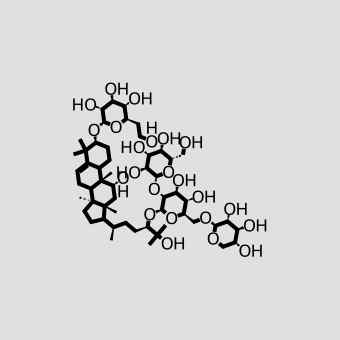 C[C@H](CC[C@@H](O[C@@H]1O[C@H](CO[C@@H]2OC[C@@H](O)[C@H](O)[C@H]2O)[C@@H](O)[C@H](O)[C@H]1O[C@H]1O[C@@H](CO)[C@H](O)[C@@H](O)[C@@H]1O)C(C)(C)O)C1CC[C@@]2(C)C3CC=C4C(CC[C@H](O[C@@H]5O[C@H](CCO)[C@@H](O)[C@H](O)[C@H]5O)C4(C)C)[C@]3(C)[C@H](O)C[C@]12C